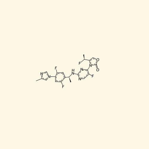 Cc1cn(-c2cc(F)c([C@H](C)Nc3ncc(F)c(-n4c([C@H](C)F)coc4=O)n3)cc2F)cn1